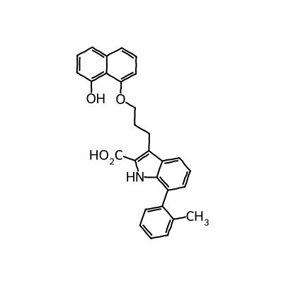 Cc1ccccc1-c1cccc2c(CCCOc3cccc4cccc(O)c34)c(C(=O)O)[nH]c12